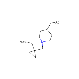 COCC1(CN2CCC(CC(C)=O)CC2)CC1